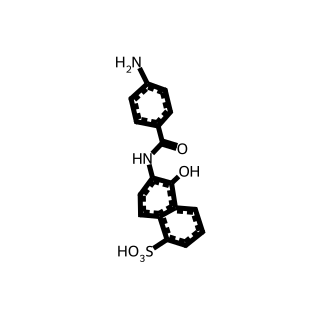 Nc1ccc(C(=O)Nc2ccc3c(S(=O)(=O)O)cccc3c2O)cc1